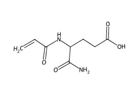 C=CC(=O)NC(CCC(=O)O)C(N)=O